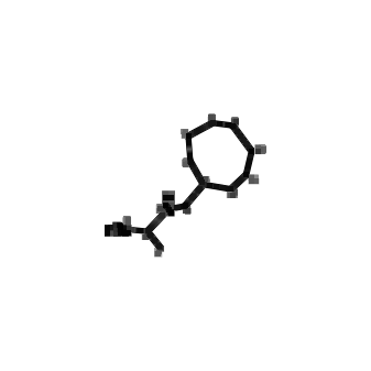 CCCCC(C)NCC1CCCCCCC1